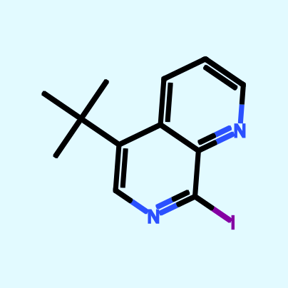 CC(C)(C)c1cnc(I)c2ncccc12